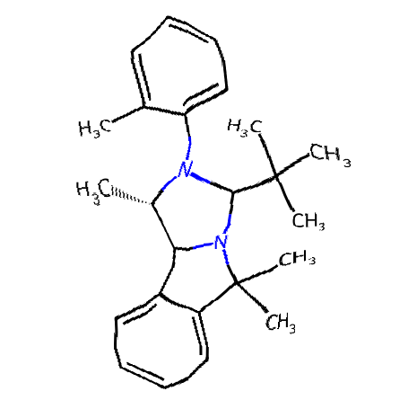 Cc1ccccc1N1C(C(C)(C)C)N2C(c3ccccc3C2(C)C)[C@@H]1C